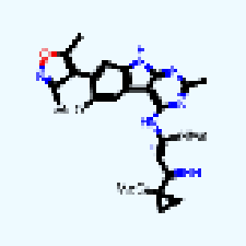 CN/C(=C\C(=N)C1(OC)CC1)Nc1nc(C)nc2[nH]c3cc(-c4c(C)noc4C)c(OC)cc3c12